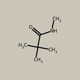 CNC(=O)C(C)(C)C